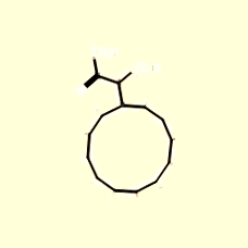 O=C(O)C(=O)C(C(=O)O)C1CCCCCCCCCCC1